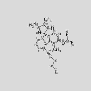 Cc1cc(C2(c3cccc(C#CCCF)c3)N=C(N)N(C)C2=O)ccc1OC(F)F